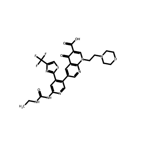 CCNC(=O)Nc1cc(-c2nc(C(F)(F)F)cs2)c(-c2cnc3c(c2)c(=O)c(C(=O)O)cn3CCN2CCOCC2)cn1